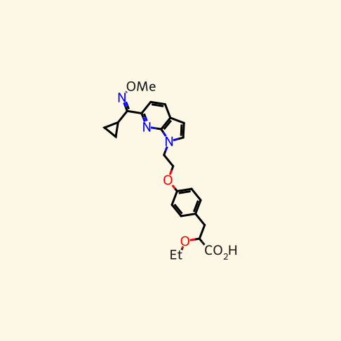 CCOC(Cc1ccc(OCCn2ccc3ccc(/C(=N\OC)C4CC4)nc32)cc1)C(=O)O